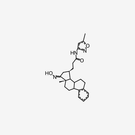 Cc1cc(NC(=O)CC[C@@H]2C/C(=N\O)[C@@]3(C)CCC4c5ccccc5CCC4C23)no1